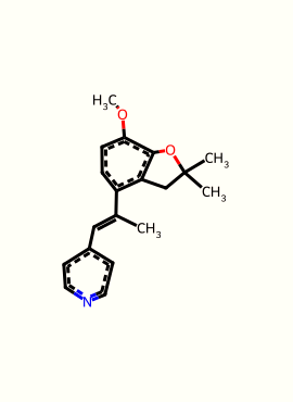 COc1ccc(/C(C)=C/c2ccncc2)c2c1OC(C)(C)C2